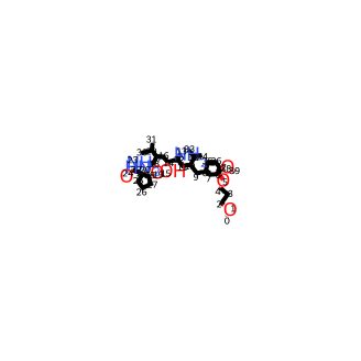 COCCCOc1cc(CC(CC(N)C(O)CC(C(=O)NC2(C(N)=O)CCCC2)C(C)C)C(C)C)ccc1OC